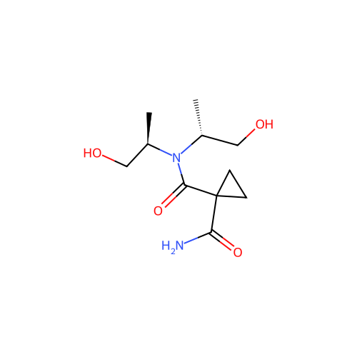 C[C@H](CO)N(C(=O)C1(C(N)=O)CC1)[C@H](C)CO